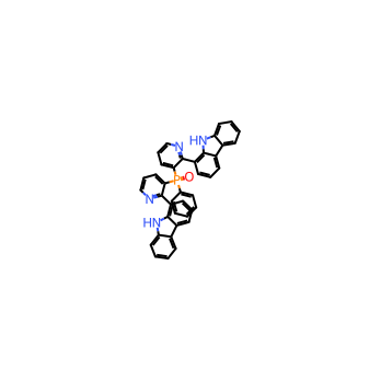 O=P(c1ccccc1)(c1cccnc1-c1cccc2c1[nH]c1ccccc12)c1cccnc1-c1cccc2c1[nH]c1ccccc12